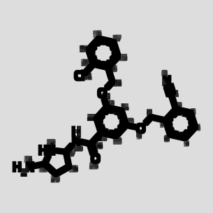 N#Cc1ccccc1COc1cc(OCc2ccccc2Cl)cc(C(=O)NC2CCC(N)N2)c1